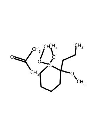 CC(C)=O.CCCC1(OC)CCCC[Si]1(OC)OC